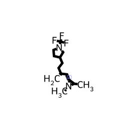 C=C(/C=C1/C(C)N1C)CCC1CCN(C(F)(F)F)C1